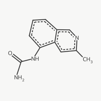 Cc1cc2c(NC(N)=O)cccc2cn1